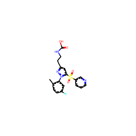 Cc1ccc(F)cc1-n1nc(CCNC(=O)O)cc1S(=O)(=O)c1cccnc1